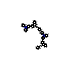 c1ccc(CCC2c3ccccc3-c3cc(-c4ccc5c(c4)c4ccccc4n5-c4ccc(-c5ccc(CCC6Cc7ccccc7-c7cc(-c8ccc9c(c8)c8ccccc8n9-c8ccccc8)ccc76)cc5)cc4)ccc32)cc1